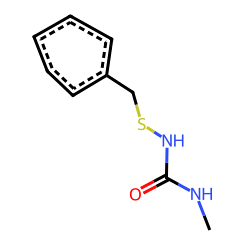 CNC(=O)NSCc1ccccc1